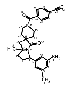 Bc1cc(C)cc(C2CCC3(C)OC4(CCN(C(=O)c5ccc(C#C)cc5)CC4)C(=O)N23)c1